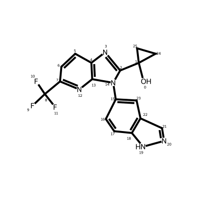 OC1(c2nc3ccc(C(F)(F)F)nc3n2-c2ccc3[nH]ncc3c2)CC1